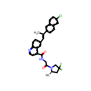 C/C(=C\c1ccc2nccc(C(=O)NCC(=O)N3CC(F)(F)C[C@H]3C#N)c2c1)c1ccc2cc(Cl)ccc2c1